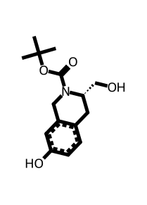 CC(C)(C)OC(=O)N1Cc2cc(O)ccc2C[C@H]1CO